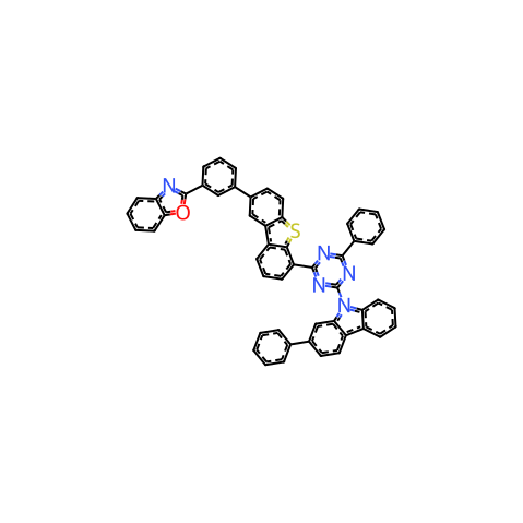 c1ccc(-c2ccc3c4ccccc4n(-c4nc(-c5ccccc5)nc(-c5cccc6c5sc5ccc(-c7cccc(-c8nc9ccccc9o8)c7)cc56)n4)c3c2)cc1